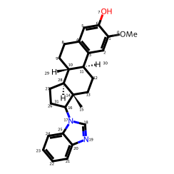 COc1cc2c(cc1O)CC[C@@H]1[C@@H]2CC[C@]2(C)C(n3cnc4ccccc43)CC[C@@H]12